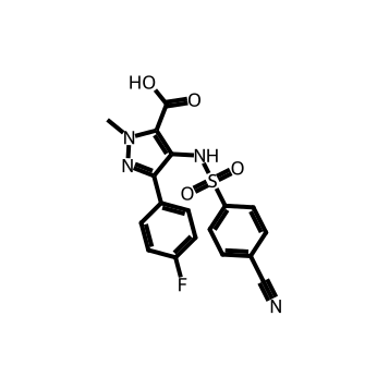 Cn1nc(-c2ccc(F)cc2)c(NS(=O)(=O)c2ccc(C#N)cc2)c1C(=O)O